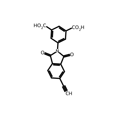 C#Cc1ccc2c(c1)C(=O)N(c1cc(C(=O)O)cc(C(=O)O)c1)C2=O